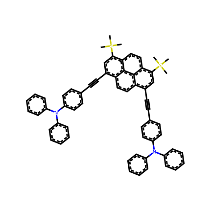 CS(C)(C)c1cc(C#Cc2ccc(N(c3ccccc3)c3ccccc3)cc2)c2ccc3c(C#Cc4ccc(N(c5ccccc5)c5ccccc5)cc4)cc(S(C)(C)C)c4ccc1c2c34